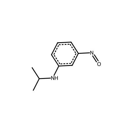 CC(C)Nc1cccc(N=O)c1